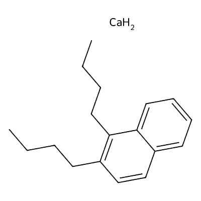 CCCCc1ccc2ccccc2c1CCCC.[CaH2]